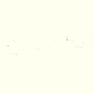 CCn1c(=S)c(F)cn(CCCCCCOC(=O)C2CC(C)CC2C)c1=S